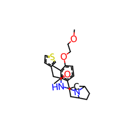 COCCOc1ccc(CN2C3CCC2CC(NC(=O)Cc2ccsc2)C3)c(C)c1C